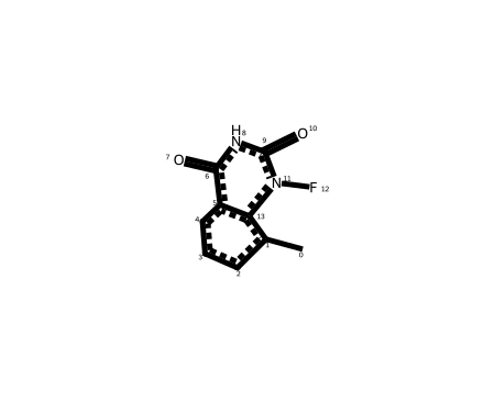 Cc1cccc2c(=O)[nH]c(=O)n(F)c12